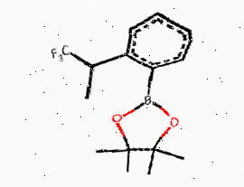 CC(c1ccccc1B1OC(C)(C)C(C)(C)O1)C(F)(F)F